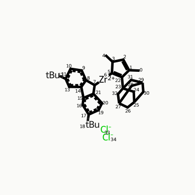 CC1=CC(C)[C]([Zr+2][CH]2c3ccc(C(C)(C)C)cc3-c3cc(C(C)(C)C)ccc32)=C1C12CC3CC(CC(C3)C1)C2.[Cl-].[Cl-]